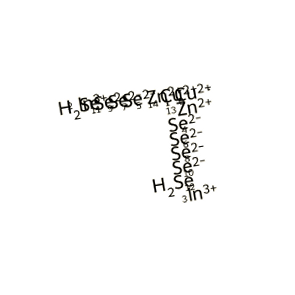 [Cu+2].[Cu+2].[In+3].[In+3].[Se-2].[Se-2].[Se-2].[Se-2].[Se-2].[Se-2].[Se-2].[SeH2].[SeH2].[Zn+2].[Zn+2]